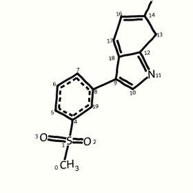 CS(=O)(=O)c1cccc(C2=CN=C3CC(F)=CC=C23)c1